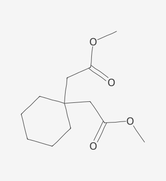 COC(=O)CC1(CC(=O)OC)CCCCC1